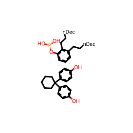 CCCCCCCCCCCCc1cccc(OP(O)O)c1CCCCCCCCCCCC.Oc1ccc(C2(c3ccc(O)cc3)CCCCC2)cc1